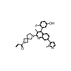 C=CC(=O)N1CC2(CCN(c3nc4cc(-c5ccnn5C)ccc4c(-c4cc(O)ccc4F)c3C)C2)C1